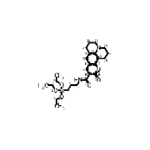 CCO[Si](CCCNC(=O)c1cc2cc3c4c(c2oc1=O)CCCN4CCC3)(OCC)OCC